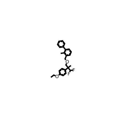 CCOc1ccc(C(C)(COCc2cccc(-c3ccccc3)c2C)C(F)F)cc1